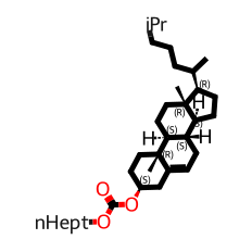 CCCCCCCOC(=O)O[C@H]1CC[C@@]2(C)C(=CC[C@H]3[C@@H]4CC[C@H](C(C)CCCC(C)C)[C@@]4(C)CC[C@@H]32)C1